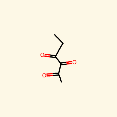 CCC(=O)C(=O)C(C)=O